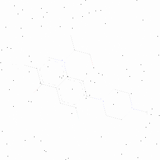 CCN1CCN(c2c(F)cc3c(=O)c(C(=O)O)cn4c3c2OCC4C)CC1